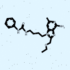 CCOCc1nc2c(N)nc(C)cc2n1CCCCNC(=O)Nc1ccccc1